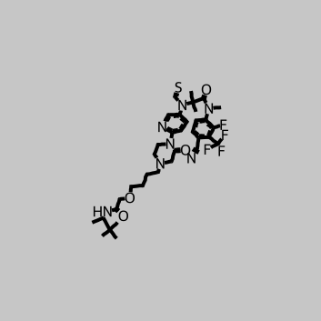 CC(NC(=O)COCCCCN1CCN(c2ccc(N(C=S)C(C)(C)C(=O)N(C)c3ccc(C#N)c(C(F)(F)F)c3F)cn2)C(=O)C1)C(C)(C)C